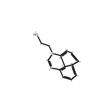 OCCN1C=Nc2cccc3cccc1c23